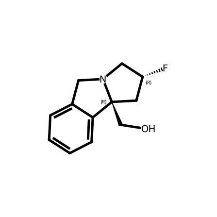 OC[C@]12C[C@@H](F)CN1Cc1ccccc12